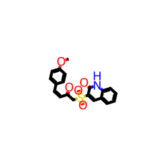 COc1ccc(/C=C\C(=O)CS(=O)(=O)c2cc3ccccc3[nH]c2=O)cc1